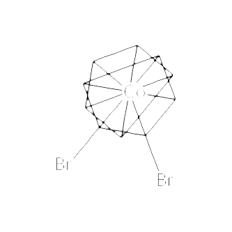 Br[C]12[CH]3[CH]4[CH]5[C]1(Br)[Co]43521678[CH]2[CH]1[CH]6[CH]7[CH]28